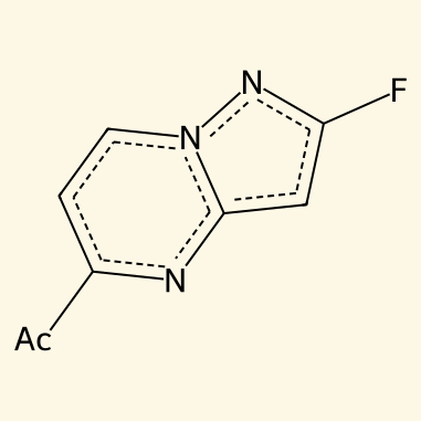 CC(=O)c1ccn2nc(F)cc2n1